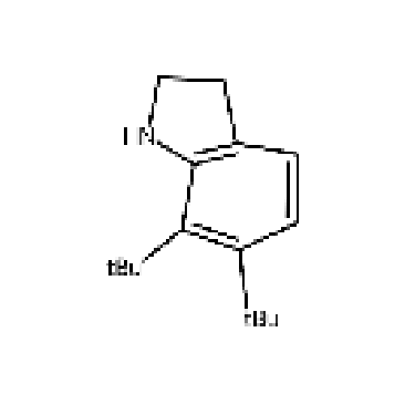 CC(C)(C)c1ccc2c(c1C(C)(C)C)NCC2